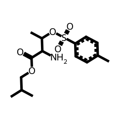 Cc1ccc(S(=O)(=O)OC(C)C(N)C(=O)OCC(C)C)cc1